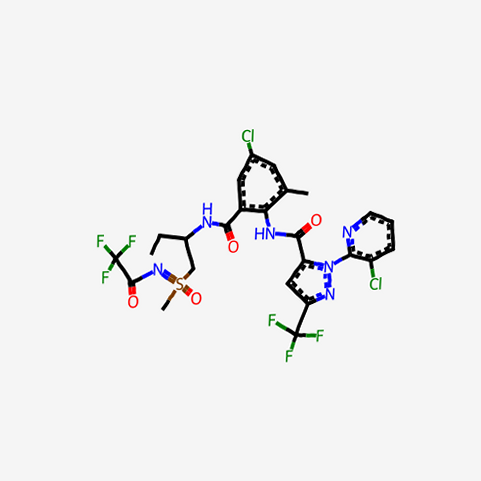 CCC(CS(C)(=O)=NC(=O)C(F)(F)F)NC(=O)c1cc(Cl)cc(C)c1NC(=O)c1cc(C(F)(F)F)nn1-c1ncccc1Cl